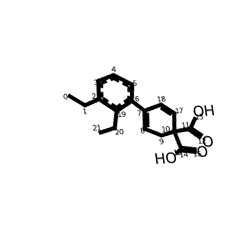 CCc1cccc(C2=CCC(C(=O)O)(C(=O)O)C=C2)c1CC